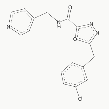 O=C(NCc1ccncc1)c1nnc(Cc2cccc(Cl)c2)o1